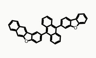 c1ccc2cc3c(cc2c1)oc1ccc(-c2c4ccccc4c(-c4ccc5c(c4)oc4ccccc45)c4ccccc24)cc13